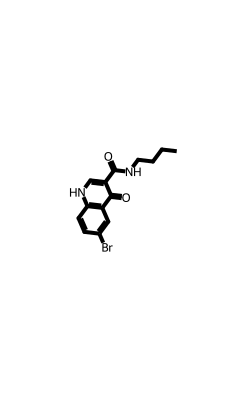 CCCCNC(=O)c1c[nH]c2ccc(Br)cc2c1=O